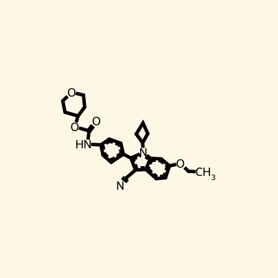 CCOc1ccc2c(C#N)c(-c3ccc(NC(=O)OC4CCOCC4)cc3)n(C3CCC3)c2c1